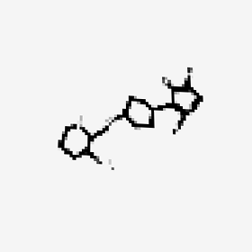 NC1CCCNC1COC1CCC(c2c(F)ccc(F)c2F)CC1